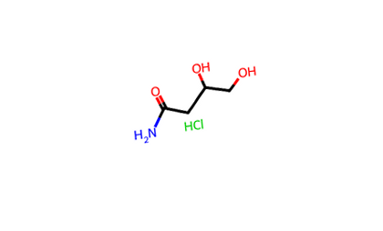 Cl.NC(=O)CC(O)CO